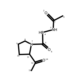 CC(=O)NBC(=O)N1CCCC1C(C)=O